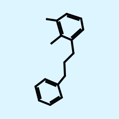 Cc1cccc(CCCc2ccccc2)c1C